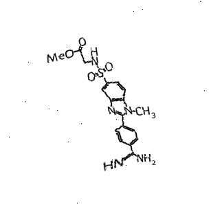 COC(=O)CNS(=O)(=O)c1ccc2c(c1)nc(-c1ccc(C(=N)N)cc1)n2C